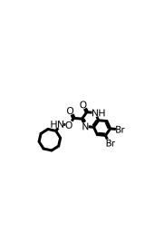 O=C(ONC1CCCCCCC1)c1nc2cc(Br)c(Br)cc2[nH]c1=O